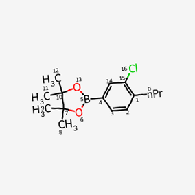 CCCc1ccc(B2OC(C)(C)C(C)(C)O2)cc1Cl